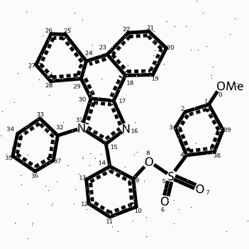 COc1ccc(S(=O)(=O)Oc2ccccc2-c2nc3c4ccccc4c4ccccc4c3n2-c2ccccc2)cc1